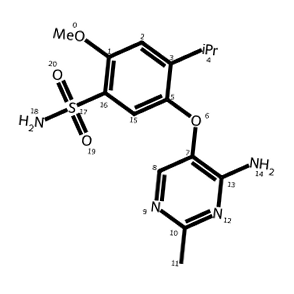 COc1cc(C(C)C)c(Oc2cnc(C)nc2N)cc1S(N)(=O)=O